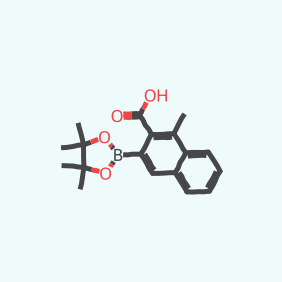 Cc1c(C(=O)O)c(B2OC(C)(C)C(C)(C)O2)cc2ccccc12